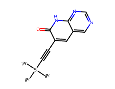 CC(C)[Si](C#Cc1cc2cncnc2[nH]c1=O)(C(C)C)C(C)C